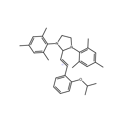 Cc1cc(C)c(N2CCN(c3c(C)cc(C)cc3C)C2/C=C/c2ccccc2OC(C)C)c(C)c1